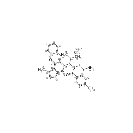 Cc1ccc(C(=O)N(CCN)C(c2nc3snc(C)c3c(=O)n2Cc2ccccc2)C(C)C)cc1.[Cl-].[H+]